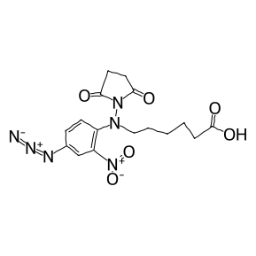 [N-]=[N+]=Nc1ccc(N(CCCCCC(=O)O)N2C(=O)CCC2=O)c([N+](=O)[O-])c1